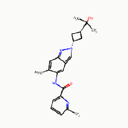 COc1cc2nn([C@H]3C[C@H](C(C)(C)O)C3)cc2cc1NC(=O)c1cccc(C(F)(F)F)n1